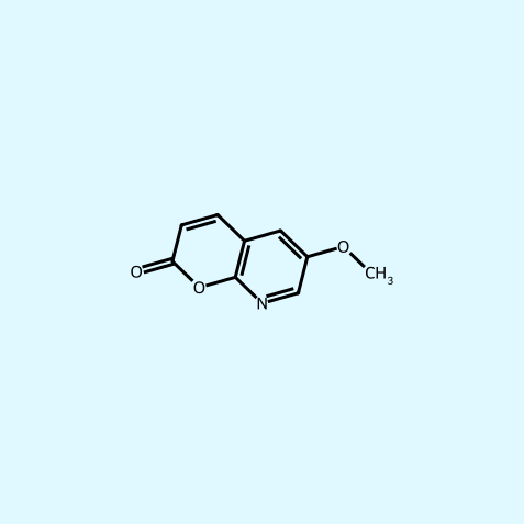 COc1cnc2oc(=O)ccc2c1